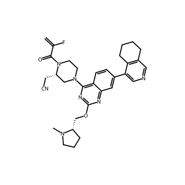 C=C(F)C(=O)N1CCN(c2nc(OC[C@@H]3CCCN3C)nc3cc(-c4cncc5c4CCCC5)ccc23)C[C@@H]1CC#N